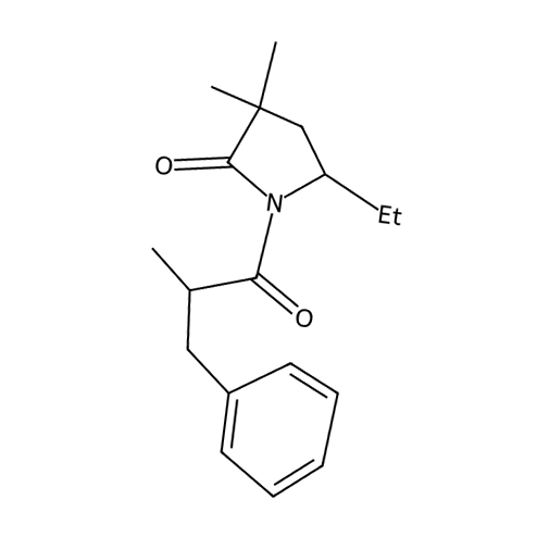 CCC1CC(C)(C)C(=O)N1C(=O)C(C)Cc1ccccc1